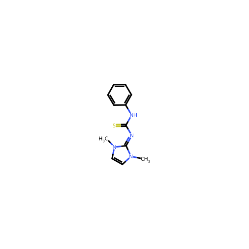 Cn1ccn(C)c1=NC(=S)Nc1ccccc1